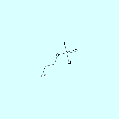 CCCCCOP(=O)(Cl)I